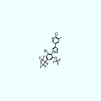 Cc1cc(-c2cnn(-c3c(Br)cc(C(F)(C(F)(F)F)C(F)(F)F)cc3OC(F)(F)F)c2)cnc1Cl